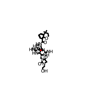 CC1(C)CCOc2c(C(=O)NC3CN4C(=N)N[C@@H](CN5C(=O)CN(CCO)C5=O)C5NC(=N)NC54C3(O)O)cccc21